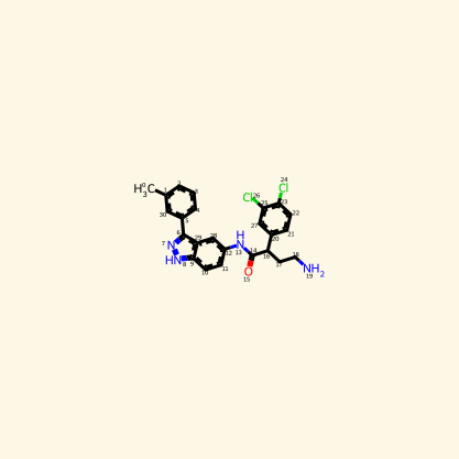 Cc1cccc(-c2n[nH]c3ccc(NC(=O)C(CCN)c4ccc(Cl)c(Cl)c4)cc23)c1